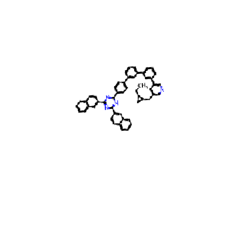 CCC1CC1Cc1cncc(-c2cccc(-c3cccc(-c4ccc(-c5nc(-c6ccc7ccccc7c6)nc(-c6ccc7ccccc7c6)n5)cc4)c3)c2)c1